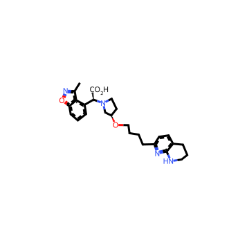 Cc1noc2cccc([C@@H](C(=O)O)N3CC[C@@H](OCCCCc4ccc5c(n4)NCCC5)C3)c12